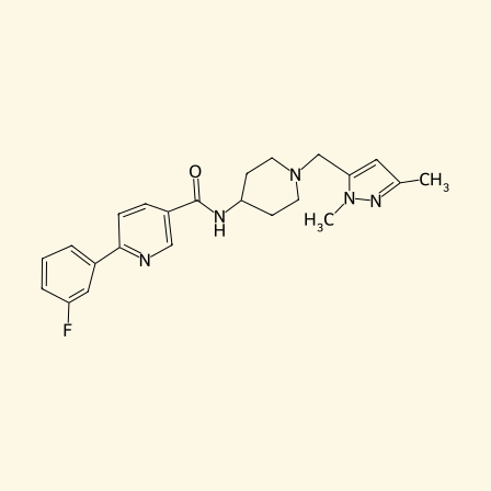 Cc1cc(CN2CCC(NC(=O)c3ccc(-c4cccc(F)c4)nc3)CC2)n(C)n1